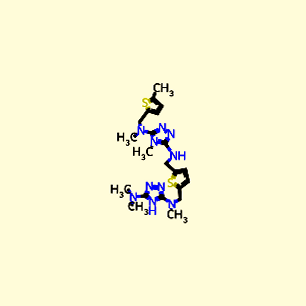 Cc1ccc(CN(C)c2nnc(NCc3ccc(CN(C)c4nnc(N(C)C)[nH]4)s3)n2C)s1